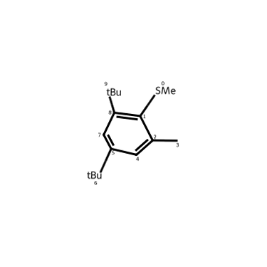 CSc1c(C)cc(C(C)(C)C)cc1C(C)(C)C